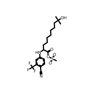 CC(C)(O)CCCCCCCC(Nc1ccc(C#N)c(C(F)(F)F)c1)C(=O)OS(C)(=O)=O